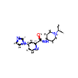 CC(C)N1CCC(NC(=O)c2cc(-n3ccnc3)ccn2)CC1